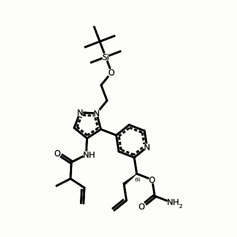 C=CC[C@H](OC(N)=O)c1cc(-c2c(NC(=O)C(C)C=C)cnn2CCO[Si](C)(C)C(C)(C)C)ccn1